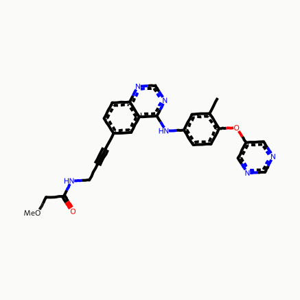 COCC(=O)NCC#Cc1ccc2ncnc(Nc3ccc(Oc4cncnc4)c(C)c3)c2c1